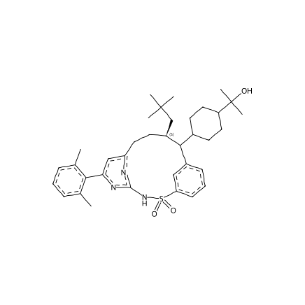 Cc1cccc(C)c1-c1cc2nc(n1)NS(=O)(=O)c1cccc(c1)C(C1CCC(C(C)(C)O)CC1)[C@H](CC(C)(C)C)CC2